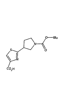 CC(C)(C)OC(=O)N1CCC(c2nc(C(=O)O)cs2)C1